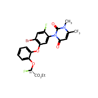 CCOC(=O)[C@H](F)Oc1ccccc1Oc1cc(-n2c(=O)cc(C(F)(F)F)n(C)c2=O)c(F)cc1Br